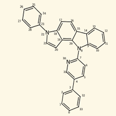 c1ccc(-c2ccc(-n3c4ccccc4c4ccc5c(ccn5-c5ccccc5)c43)nc2)cc1